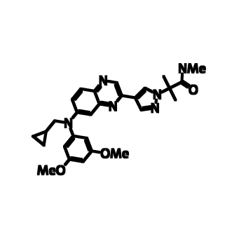 CNC(=O)C(C)(C)n1cc(-c2cnc3ccc(N(CC4CC4)c4cc(OC)cc(OC)c4)cc3n2)cn1